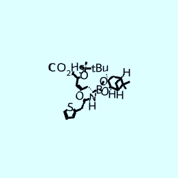 CC1(C)[C@@H]2C[C@H]1[C@H]1OB([C@@H](C/C=C\C(CC(=O)O)O[Si](C)(C)C(C)(C)C)NC(=O)Cc3cccs3)O[C@@]1(C)C2